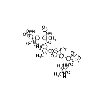 CCCN1C(=O)C2(CCOCC2)c2ccc(-c3cc(C(=O)NCc4c(C)cc(C)[nH]c4=O)c(C)c(N(CC)C4CCOCC4)c3)cc21.CCN(c1cc(-c2ccc3c(c2)N(C)C(=C=O)C32CCN(C(=O)OC)CC2)cc(C(=O)NCC2=C(C)C=C(C)NC2=C=O)c1C)C1CCOCC1